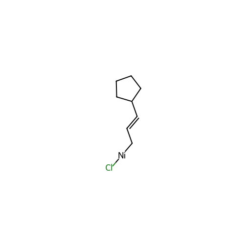 [Cl][Ni][CH2]C=CC1CCCC1